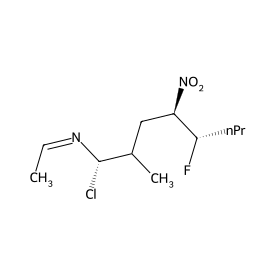 C/C=N\[C@@H](Cl)C(C)C[C@H]([C@@H](F)CCC)[N+](=O)[O-]